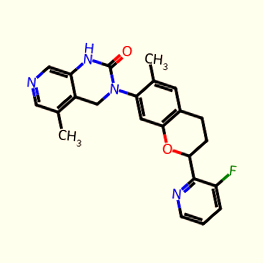 Cc1cc2c(cc1N1Cc3c(C)cncc3NC1=O)OC(c1ncccc1F)CC2